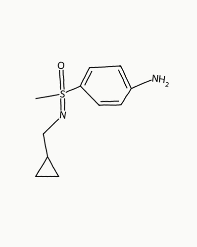 CS(=O)(=NCC1CC1)c1ccc(N)cc1